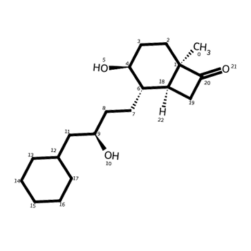 C[C@@]12CC[C@H](O)[C@@H](CC[C@@H](O)CC3CCCCC3)[C@@H]1CC2=O